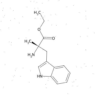 CCOC(=O)[C@@](C)(N)Cc1c[nH]c2ccccc12